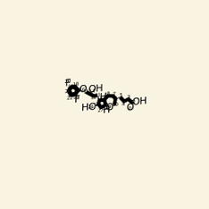 O=C(O)CCC[C@H]1CC[C@@H]2[C@@H](CCC(O)COc3cc(F)ccc3F)[C@H](O)C[C@@H]2OC1